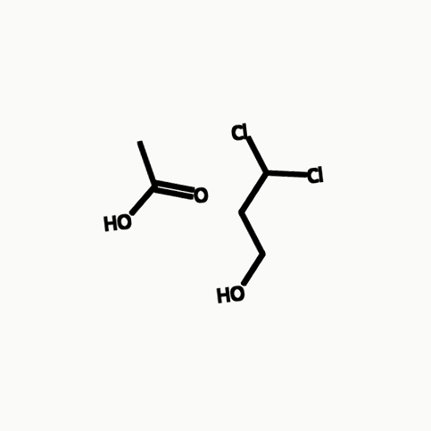 CC(=O)O.OCCC(Cl)Cl